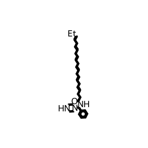 CCC=CCC=CCC=CCC=CCC=CCC=CCCC(=O)NC(c1ccccc1)N1CCNCC1